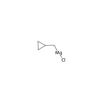 [Cl][Mg][CH2]C1CC1